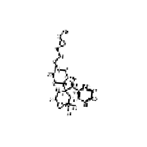 CCOCCCN1CCC(C2(C(=O)c3ccccn3)CCOC(C)(C)C2)CC1